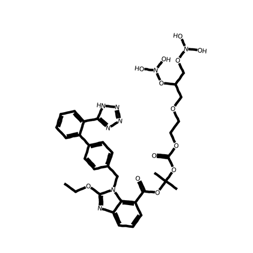 CCOc1nc2cccc(C(=O)OC(C)(C)OC(=O)OCCOCC(CON(O)O)ON(O)O)c2n1Cc1ccc(-c2ccccc2-c2nnn[nH]2)cc1